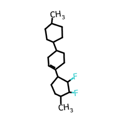 CC1CCC(C2CC=C(C3CCC(C)C(F)C3F)CC2)CC1